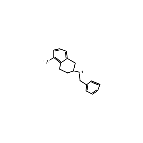 Cc1cccc2c1CC[C@H](NCc1ccccc1)C2